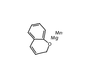 C1=Cc2ccccc2OC1.[Mg].[Mn]